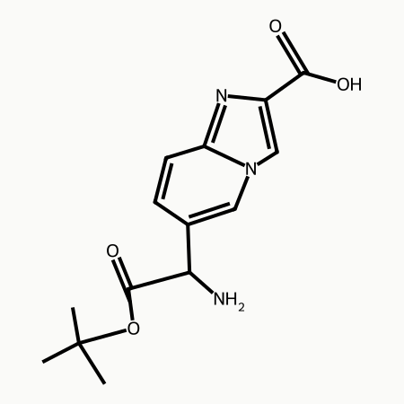 CC(C)(C)OC(=O)C(N)c1ccc2nc(C(=O)O)cn2c1